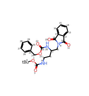 CC(C)(C)OC(=O)NCCC(CN1C(=O)c2ccccc2C1=O)NC(=O)OCc1ccccc1